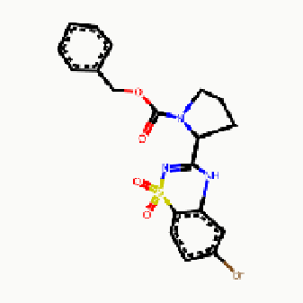 O=C(OCc1ccccc1)N1CCCC1C1=NS(=O)(=O)c2ccc(Br)cc2N1